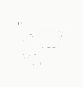 Cl.Oc1cccc2c1CNC2